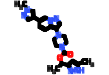 Cc1cc(C(C)OC(=O)N2CCN(c3cnn4cc(-c5cnn(C)c5)ccc34)CC2)n[nH]1